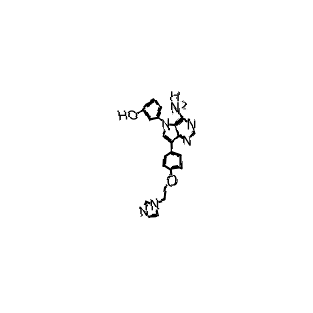 Nc1ncnc2c(-c3ccc(OCCn4ccnc4)cc3)cn(-c3cccc(O)c3)c12